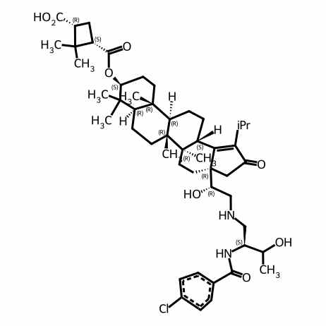 CC(C)C1=C2[C@H]3CC[C@@H]4[C@@]5(C)CC[C@H](OC(=O)[C@H]6C[C@@H](C(=O)O)C6(C)C)C(C)(C)[C@@H]5CC[C@@]4(C)[C@]3(C)CC[C@@]2([C@@H](O)CNC[C@H](NC(=O)c2ccc(Cl)cc2)C(C)O)CC1=O